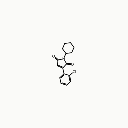 O=C1C=C(c2ccccc2Cl)C(=O)N1C1CCCCC1